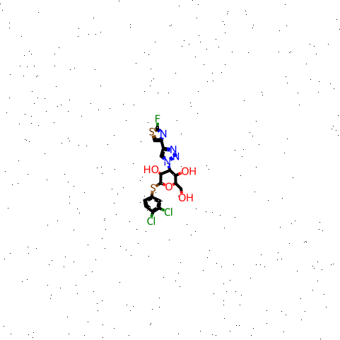 OCC1OC(Sc2ccc(Cl)c(Cl)c2)C(O)C(n2cc(-c3csc(F)n3)nn2)C1O